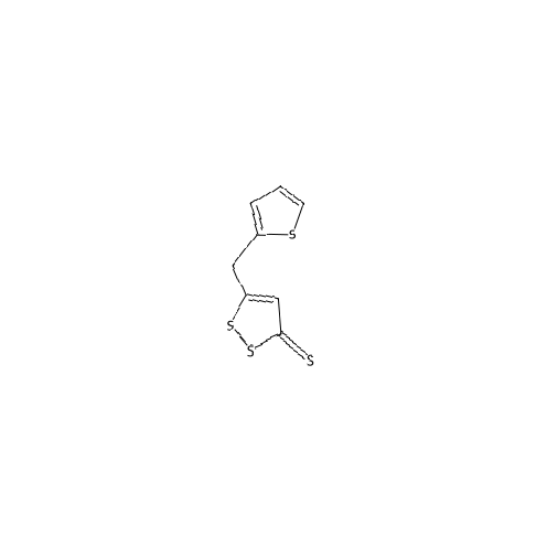 S=c1cc(Cc2cccs2)ss1